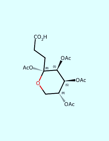 CC(=O)O[C@H]1[C@H](OC(C)=O)CO[C@](CCC(=O)O)(OC(C)=O)[C@H]1OC(C)=O